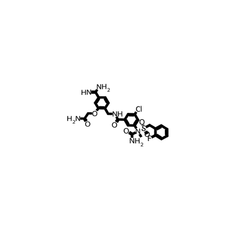 C[N+](C(N)=O)(c1cc(Cl)cc(C(=O)NCc2ccc(C(=N)N)cc2OCC(N)=O)c1)S(=O)(=O)Cc1ccccc1F